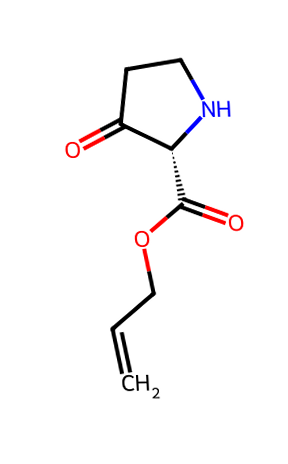 C=CCOC(=O)[C@H]1NCCC1=O